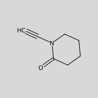 C#CN1CCCCC1=O